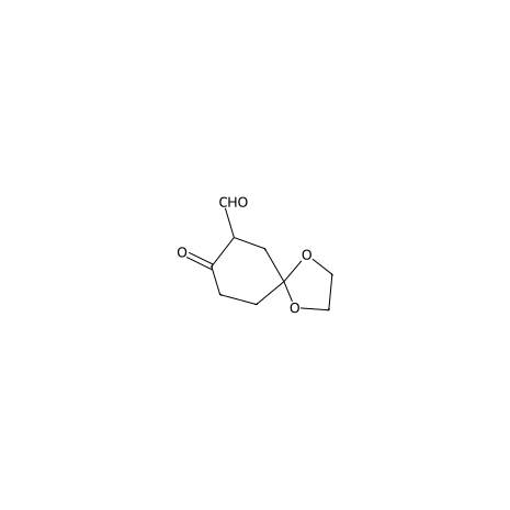 O=CC1CC2(CCC1=O)OCCO2